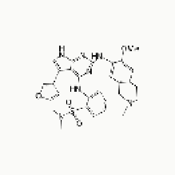 COc1cc2c(cc1Nc1nc(Nc3ccccc3S(=O)(=O)N(C)C)c3c(-c4ccoc4)c[nH]c3n1)CN(C)CC2